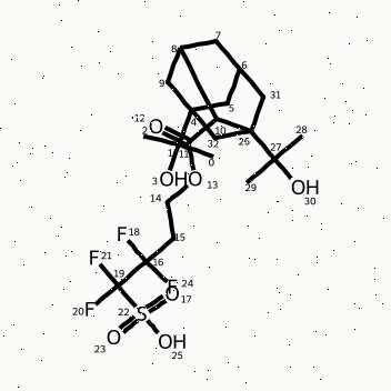 CC(C)(O)C12CC3CC(C1)C(C(=O)OCCC(F)(F)C(F)(F)S(=O)(=O)O)C(C(C)(C)O)(C3)C2